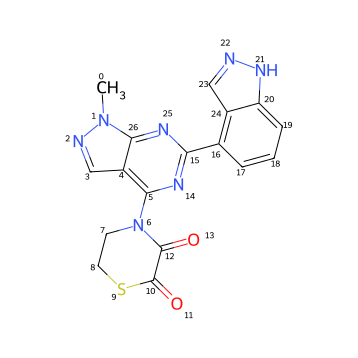 Cn1ncc2c(N3CCSC(=O)C3=O)nc(-c3cccc4[nH]ncc34)nc21